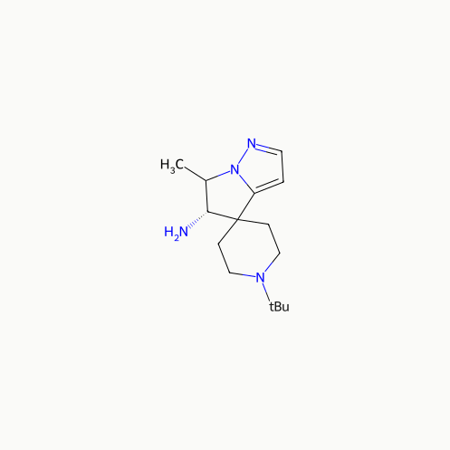 CC1[C@@H](N)C2(CCN(C(C)(C)C)CC2)c2ccnn21